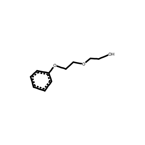 OCCOCCOc1c[c]ccc1